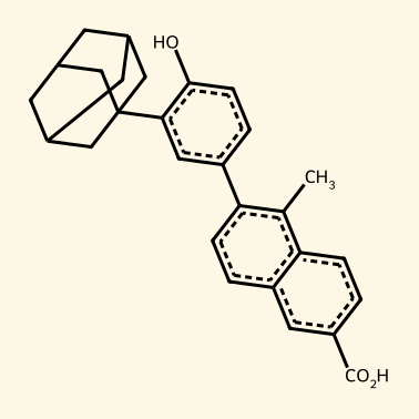 Cc1c(-c2ccc(O)c(C34CC5CC(CC(C5)C3)C4)c2)ccc2cc(C(=O)O)ccc12